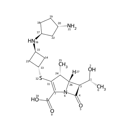 C[C@@H](O)[C@H]1C(=O)N2C(C(=O)O)=C(S[C@H]3C[C@H](N[C@H]4CC[C@H](N)C4)C3)[C@H](C)[C@H]12